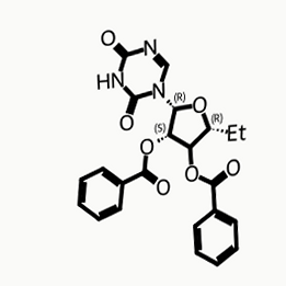 CC[C@H]1O[C@@H](n2cnc(=O)[nH]c2=O)[C@@H](OC(=O)c2ccccc2)C1OC(=O)c1ccccc1